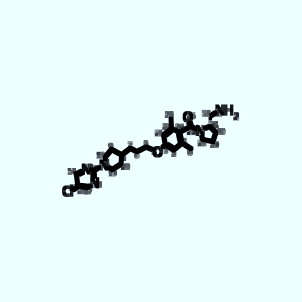 Cc1cc(OCCCC2CCN(c3ncc(Cl)cn3)CC2)cc(C)c1C(=O)N1CCC[C@H]1CN